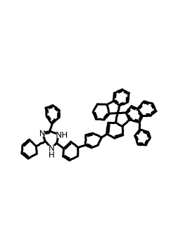 C1=CCC2C(=C1)C1(c3ccccc32)c2cc3ccccc3c(-c3ccccc3)c2C2C=CC(C3C=CC(C4C=C(C5NC(c6ccccc6)=NC(C6C=CC=CC6)N5)C=CC4)=CC3)=CC21